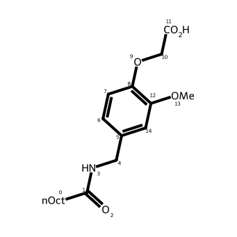 CCCCCCCCC(=O)NCc1ccc(OCC(=O)O)c(OC)c1